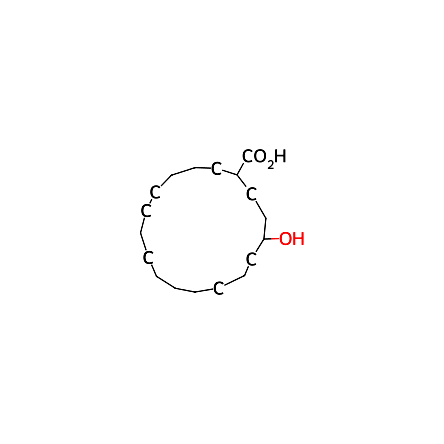 O=C(O)C1CCCCCCCCCCCCCC(O)CC1